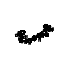 COC(=O)N[C@@H](C(=O)N1CCCC1c1ncc2cc(-c3ccc(-c4cnc5nc([C@@H]6CCCN6C(=O)[C@H](NC(=O)OC)c6ccccc6)[nH]c5c4)cc3)[nH]c2n1)c1ccccc1